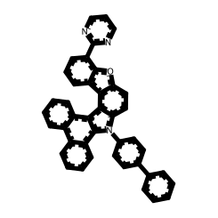 c1ccc(-c2ccc(-n3c4ccc5oc6c(-c7ncccn7)cccc6c5c4c4c5ccccc5c5ccccc5c43)cc2)cc1